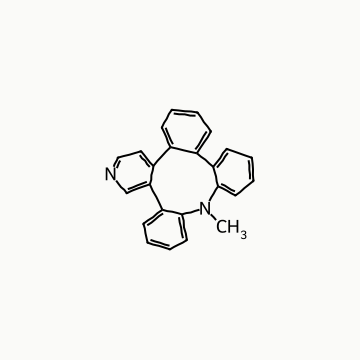 Cn1c2ccccc2c2ccccc2c2ccncc2c2ccccc21